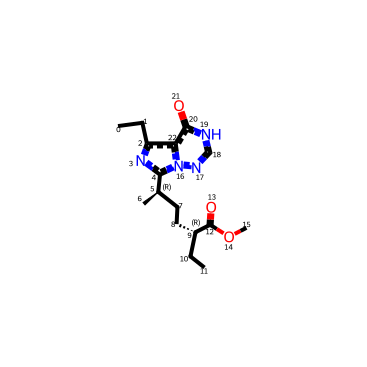 CCc1nc([C@H](C)CC[C@@H](CC)C(=O)OC)n2nc[nH]c(=O)c12